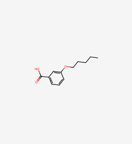 CCCCCOc1cccc(C(=O)O)c1